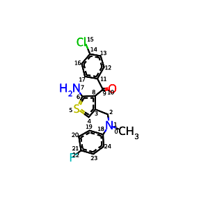 CN(Cc1csc(N)c1C(=O)c1ccc(Cl)cc1)c1ccc(F)cc1